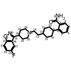 NC(=O)c1ccccc1C1CCC(CCN2CCC(c3noc4ccc(F)cc34)CC2)CC1